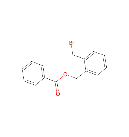 O=C(OCc1ccccc1CBr)c1ccccc1